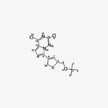 CC(C)(C)OCC1C=C(c2ccc3c(Cl)nc(Cl)nn23)CC1